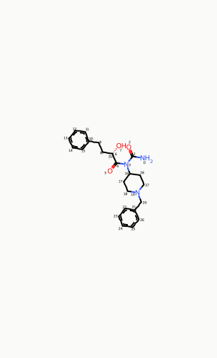 NC(=O)N(C(=O)[C@@H](O)[CH]Cc1ccccc1)C1CCN(Cc2ccccc2)CC1